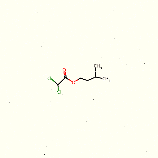 CC(C)CCOC(=O)C(Cl)Cl